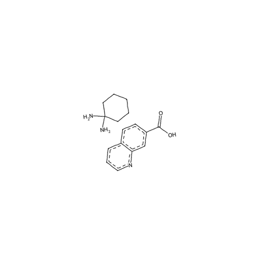 NC1(N)CCCCC1.O=C(O)c1ccc2cccnc2c1